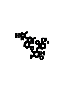 Cc1cc(-c2n[nH]cc2C)c2cccc(OCc3c(I)cc(=O)[nH]c3Cn3cccc(C(F)(F)F)c3=O)c2n1